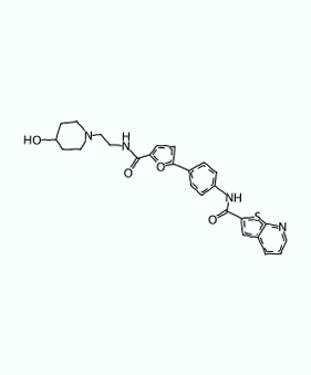 O=C(NCCN1CCC(O)CC1)c1ccc(-c2ccc(NC(=O)c3cc4cccnc4s3)cc2)o1